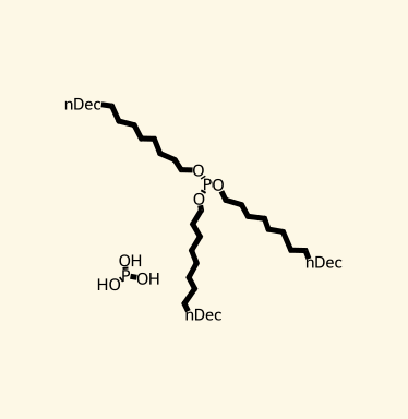 CCCCCCCCCCCCCCCCCCOP(OCCCCCCCCCCCCCCCCCC)OCCCCCCCCCCCCCCCCCC.OP(O)O